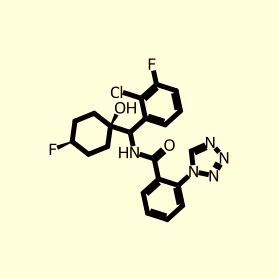 O=C(NC(c1cccc(F)c1Cl)[C@]1(O)CC[C@@H](F)CC1)c1ccccc1-n1cnnn1